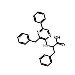 O=C(O)C(Cc1ccccc1)Nc1ncc(-c2ccccc2)nc1Cc1ccccc1